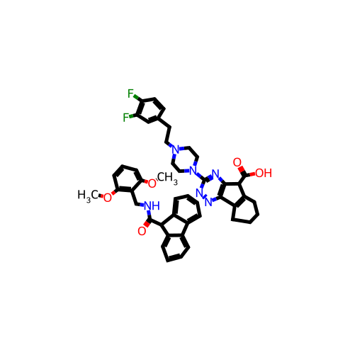 COc1cccc(OC)c1CNC(=O)C1c2ccccc2-c2ccccc21.O=C(O)C1C2=C(CCCC2)c2nnc(N3CCN(CCc4ccc(F)c(F)c4)CC3)nc21